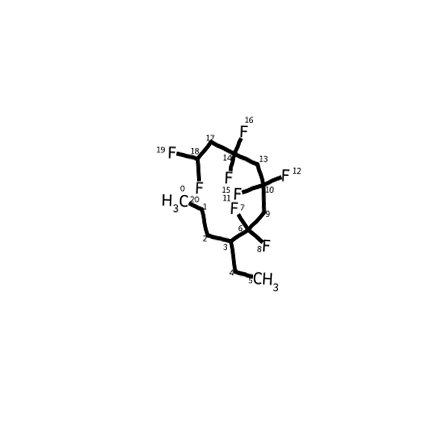 CCCC(CC)C(F)(F)CC(F)(F)CC(F)(F)CC(F)F